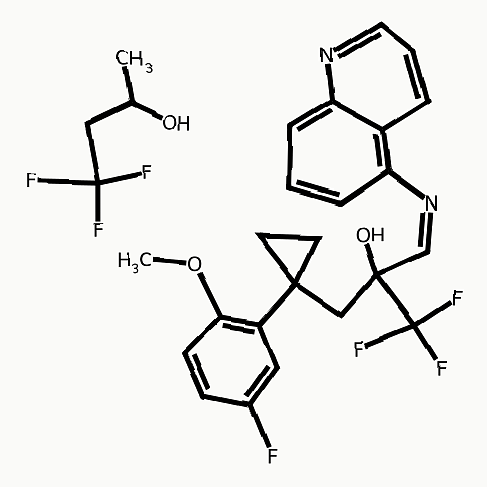 CC(O)CC(F)(F)F.COc1ccc(F)cc1C1(CC(O)(/C=N\c2cccc3ncccc23)C(F)(F)F)CC1